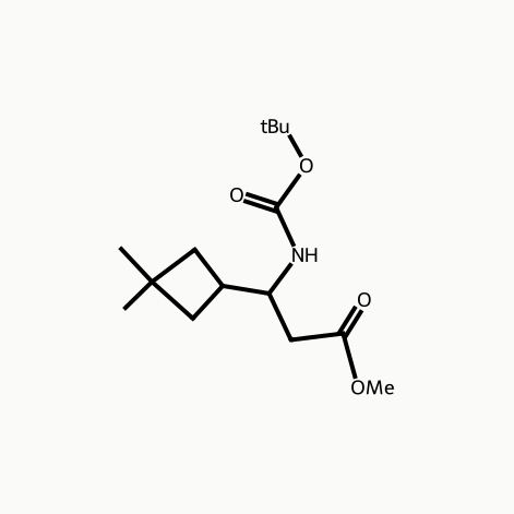 COC(=O)CC(NC(=O)OC(C)(C)C)C1CC(C)(C)C1